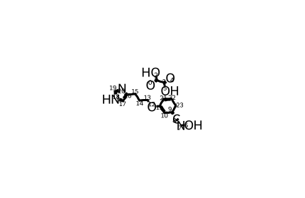 O=C(O)C(=O)O.ON=C=C1C=C(OCCCc2c[nH]cn2)C=CC1